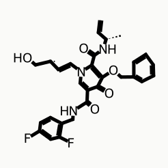 C=C[C@H](C)NC(=O)c1c(OCc2ccccc2)c(=O)c(C(=O)NCc2ccc(F)cc2F)cn1C=C[CH]CO